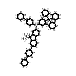 CC1(C)c2cc(-c3ccc(-c4ccccc4)cc3)ccc2-c2ccc(N(c3ccc(-c4ccccc4)cc3)c3ccc4c(c3)-c3ccccc3C43c4ccccc4-c4ccccc43)cc21